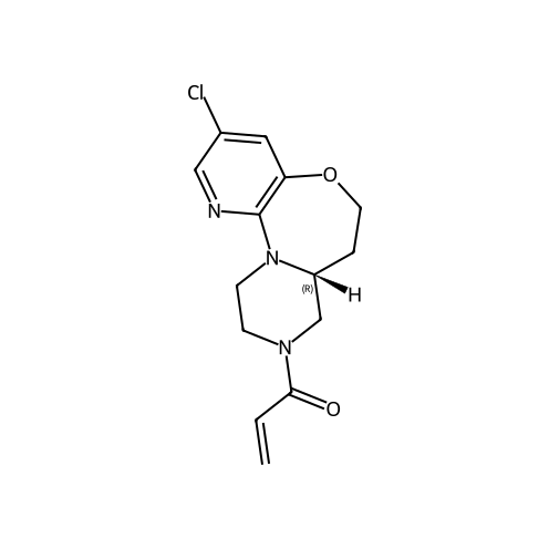 C=CC(=O)N1CCN2c3ncc(Cl)cc3OCC[C@@H]2C1